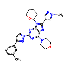 Cc1cccc(-c2ccn(-c3nc(N4CCOCC4)c4nc(-c5cnn(C)c5)n(C5CCCCO5)c4n3)n2)c1